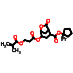 C=C(C)C(=O)OCCC(=O)OC1CC(C(=O)OC2(C(C)C)CCCC2)C2CC1OC2=O